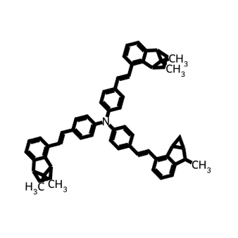 CC1c2cccc(/C=C/c3ccc(N(c4ccc(/C=C/c5cccc6c5C5CCC6C5(C)C)cc4)c4ccc(/C=C/c5cccc6c5C5CCC6C5(C)C)cc4)cc3)c2C2CC12